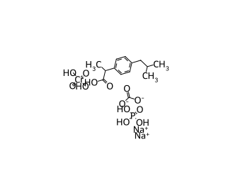 CC(C)Cc1ccc(C(C)C(=O)O)cc1.O=C([O-])[O-].O=P(O)(O)O.[Na+].[Na+].[O]=[Cr](=[O])([OH])[OH]